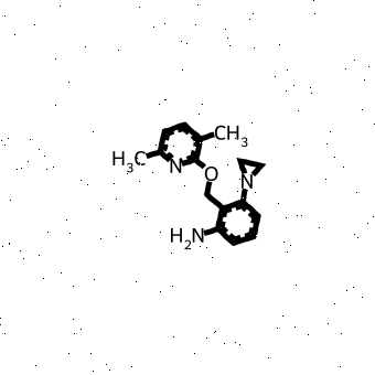 Cc1ccc(C)c(OCc2c(N)cccc2N2CC2)n1